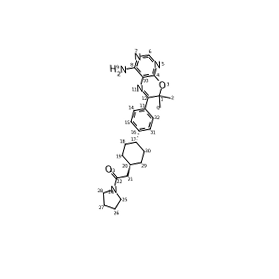 CC1(C)Oc2ncnc(N)c2N=C1c1ccc([C@H]2CC[C@H](CC(=O)N3CCCC3)CC2)cc1